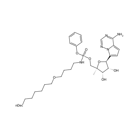 CCCCCCCCCCCCCCCCOCCCCNP(=O)(OC[C@@]1(C)O[C@@H](c2ccc3c(N)ncnn23)[C@H](O)[C@@H]1O)Oc1ccccc1